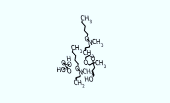 C=CCN(C)OCCCCC.C=CCN(C)OCCCCC.CC1(CC=CO)COCCO1.O=S(=O)(O)O